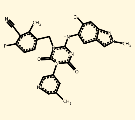 Cc1cncc(-n2c(=O)nc(Nc3cc4cn(C)nc4cc3Cl)n(Cc3ccc(F)c(C#N)c3C)c2=O)c1